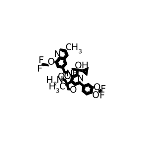 Cc1cnc2c(OCC(F)F)cc(C(=O)NCC(O)(c3cc4c(c(-c5ccc6c(c5)OC(F)(F)O6)n3)OC[C@]4(C)C(N)=O)C3CC3)cc2c1